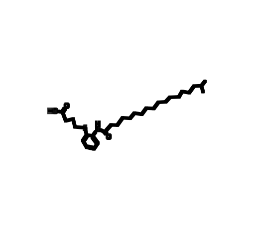 CC(C)CCCCCCCCCCCCCCCC(=O)Nc1ccccc1SCCCC(=O)O